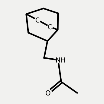 CC(=O)NCC1CC2CCC1CC2